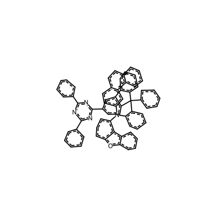 c1ccc(-c2nc(-c3ccccc3)nc(-c3ccc4c(c3)-c3ccccc3C4(c3ccccc3)c3ccccc3N(c3ccc4ccc5ccccc5c4c3)c3cccc4oc5ccccc5c34)n2)cc1